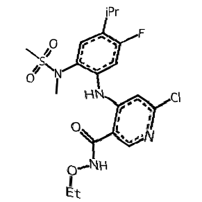 CCONC(=O)c1cnc(Cl)cc1Nc1cc(F)c(C(C)C)cc1N(C)S(C)(=O)=O